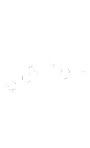 COc1cccc(SN2CC(Cn3ccc4cc(-c5cn[nH]c5)ccc43)CC2(C)C)c1